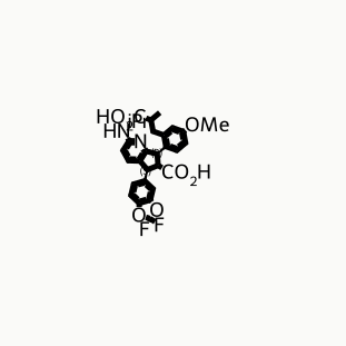 COc1ccc([C@@H]2c3nc(NC(C)C)ccc3[C@H](c3ccc4c(c3)OC(F)(F)O4)C2C(=O)O)c(CC(C)C(=O)O)c1